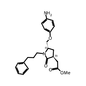 COC(=O)C[C@@H]1C[C@@H](COc2ccc(N)cc2)N(CCCc2ccccc2)C1=O